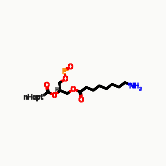 CCCCCCCC(=O)O[C@@H](COP=O)COC(=O)CCCCCCCN